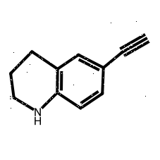 C#Cc1ccc2c(c1)CC[C]N2